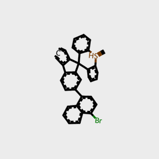 C#[SH]1c2ccccc2C2(c3ccccc3-c3ccc(-c4ccc(Br)c5ccccc45)cc32)c2ccccc21